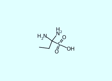 CCC(N)(N)S(=O)(=O)O